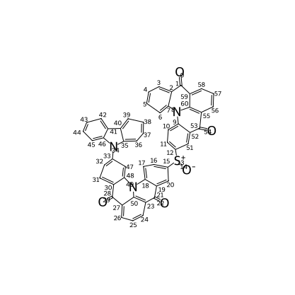 O=c1c2ccccc2n2c3ccc([S+]([O-])c4ccc5c(c4)c(=O)c4cccc6c(=O)c7ccc(-n8c9ccccc9c9ccccc98)cc7n5c46)cc3c(=O)c3cccc1c32